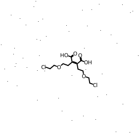 O=C(O)/C(CCOCCCl)=C(/CCOCCCl)C(=O)O